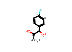 O=C(O)C(O)C(O)c1ccc(F)cc1